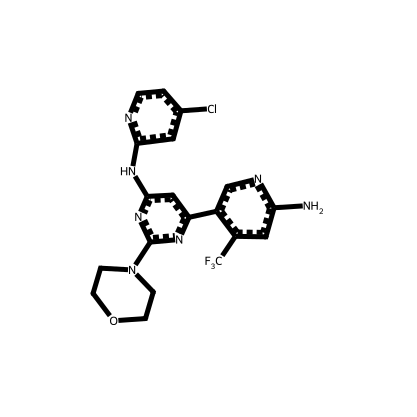 Nc1cc(C(F)(F)F)c(-c2cc(Nc3cc(Cl)ccn3)nc(N3CCOCC3)n2)cn1